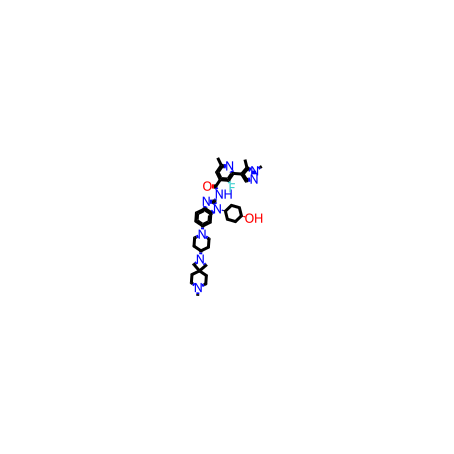 Cc1cc(C(=O)Nc2nc3ccc(N4CCC(N5CC6(CCN(C)CC6)C5)CC4)cc3n2[C@H]2CC[C@@H](O)CC2)c(F)c(-c2cnn(C)c2C)n1